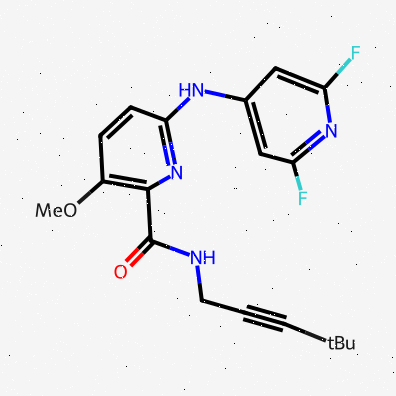 COc1ccc(Nc2cc(F)nc(F)c2)nc1C(=O)NCC#CC(C)(C)C